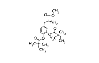 CCC(C)(C)C(=O)Oc1ccc(C[C@H](N)C(=O)OC)cc1OC(=O)C(C)(C)CC